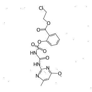 COc1cc(C)nc(NC(=O)NS(=O)(=O)Oc2ccccc2C(=O)OCCCl)n1